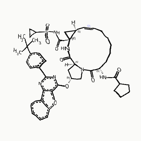 CC(C)(C)c1ccc(-c2nc(O[C@@H]3C[C@H]4C(=O)N[C@]5(C(=O)NS(=O)(=O)C6CC6)C[C@H]5/C=C\CCCCC[C@H](NC(=O)C5CCCC5)C(=O)N4C3)c3oc4ccccc4c3n2)cc1